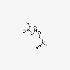 C#C/C(C)=C\COn1oc(=O)c(=O)o1